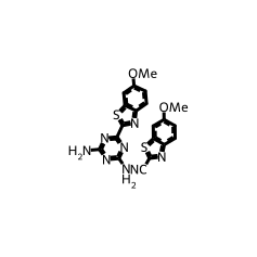 COc1ccc2nc(-c3nc(N)nc(N)n3)sc2c1.COc1ccc2nc(C#N)sc2c1